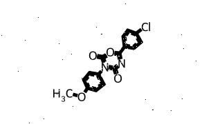 COc1ccc(-n2c(=O)nc(-c3ccc(Cl)cc3)oc2=O)cc1